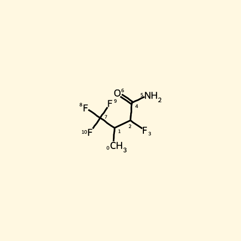 CC(C(F)C(N)=O)C(F)(F)F